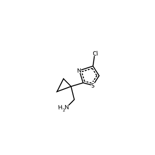 NCC1(c2nc(Cl)cs2)CC1